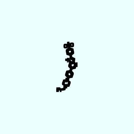 CC(C)CN1CCN(c2ccc(-c3cnc4cc(-c5ccc(S(C)(=O)=O)cc5)n(C)c4c3)cc2)CC1